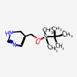 CC(C)(C)[Si](C)(C)OCC1=CN=CNC1